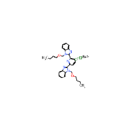 CCCCOCn1c(-c2cccc(-c3nc4ccccc4n3COCCCC)n2)nc2ccccc21.[Cl-].[Cl-].[Cl-].[Fe+3]